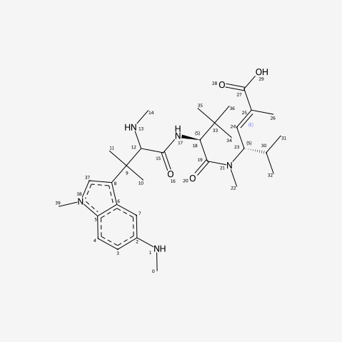 CNc1ccc2c(c1)c(C(C)(C)C(NC)C(=O)N[C@H](C(=O)N(C)[C@H](/C=C(\C)C(=O)O)C(C)C)C(C)(C)C)cn2C